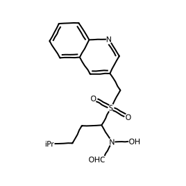 CC(C)CCC(N(O)C=O)S(=O)(=O)Cc1cnc2ccccc2c1